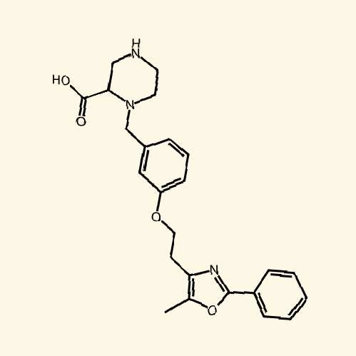 Cc1oc(-c2ccccc2)nc1CCOc1cccc(CN2CCNCC2C(=O)O)c1